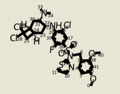 COc1ccc(CN(c2nccs2)S(=O)(=O)c2cc(Cl)c(N[C@@H]3C[C@H]4CC(Cl)(Cl)[C@H]4C[C@H]3N(C)C)cc2F)c(OC)c1